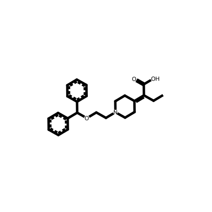 CCC(C(=O)O)=C1CCN(CCOC(c2ccccc2)c2ccccc2)CC1